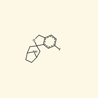 Fc1ccc2c(c1)C1(CC3CCC(C1)N3)OC2